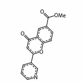 COC(=O)c1ccc2oc(-c3cccnc3)cc(=O)c2c1